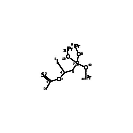 CC(=S)OC(I)C[Si](OC(C)C)(OC(C)C)OC(C)C